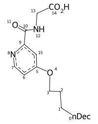 CCCCCCCCCCCCCOc1ccnc(C(=O)NCC(=O)O)c1